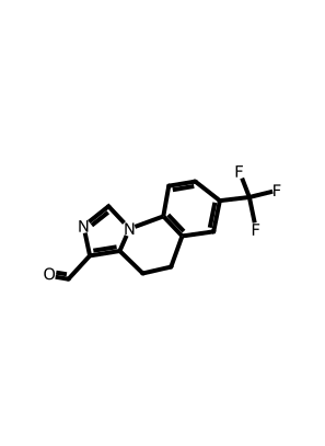 O=Cc1ncn2c1CCc1cc(C(F)(F)F)ccc1-2